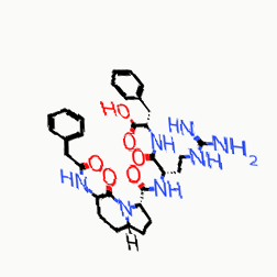 N=C(N)NCC[C@H](NC(=O)[C@@H]1CC[C@@H]2CCC(NC(=O)Cc3ccccc3)C(=O)N21)C(=O)N[C@@H](Cc1ccccc1)C(=O)O